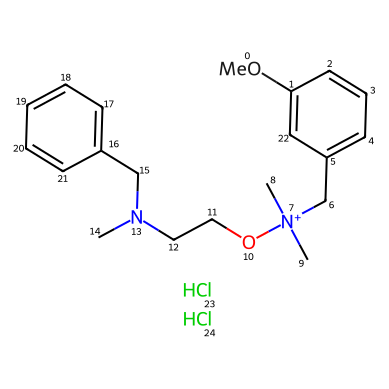 COc1cccc(C[N+](C)(C)OCCN(C)Cc2ccccc2)c1.Cl.Cl